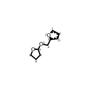 c1coc(COC2CCCO2)c1